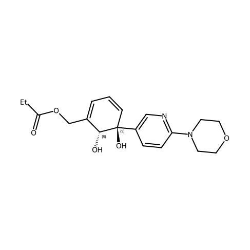 CCC(=O)OCC1=CC=C[C@](O)(c2ccc(N3CCOCC3)nc2)[C@@H]1O